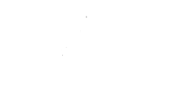 CCCCCP(=O)(O)Cl